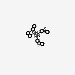 c1ccc2cc3c(cc2c1)-c1cccc2cccc(c12)N3c1nc(-c2ccc3sc4ccccc4c3c2)nc(-c2ccc3sc4ccccc4c3c2)n1